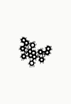 c1ccc(N(c2cc(C3CCCCC3)c3ccc4c(N(c5ccccc5)c5cccc6c5oc5ccc7ccccc7c56)cc(C5CCCCC5)c5ccc2c3c54)c2cccc3c2oc2ccc4ccccc4c23)cc1